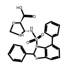 O=C(O)[C@@H]1OCN[C@H]1NS(=O)(=O)N1c2c(cccc2-c2ccccc2)SC1c1ccccc1